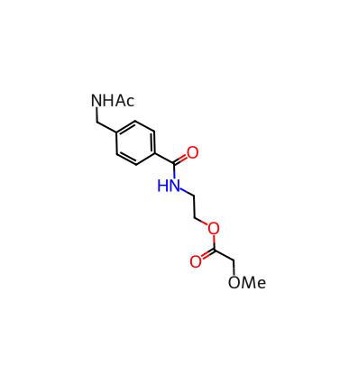 COCC(=O)OCCNC(=O)c1ccc(CNC(C)=O)cc1